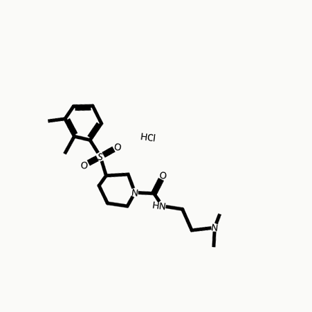 Cc1cccc(S(=O)(=O)C2CCCN(C(=O)NCCN(C)C)C2)c1C.Cl